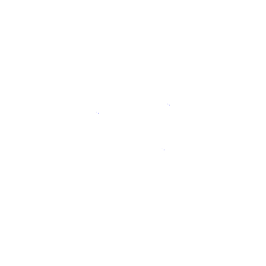 N#Cc1ncccc1-c1cccnc1